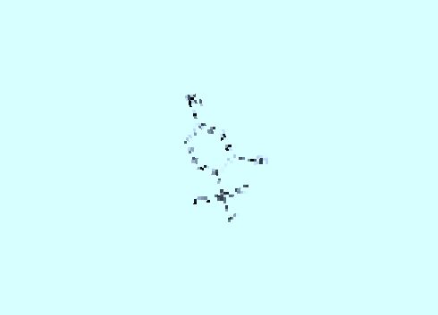 CC(C)S(=O)(=O)c1ccc([N+](=O)[O-])cc1C#N